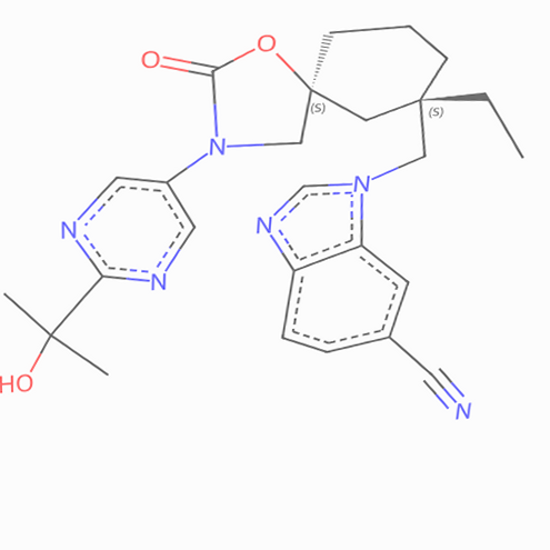 CC[C@]1(Cn2cnc3ccc(C#N)cc32)CCC[C@@]2(CN(c3cnc(C(C)(C)O)nc3)C(=O)O2)C1